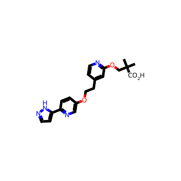 CC(C)(COc1cc(CCOc2ccc(-c3ccn[nH]3)nc2)ccn1)C(=O)O